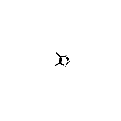 Bc1snnc1C